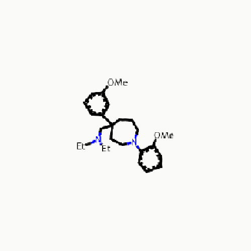 CCN(CC)CC1(c2cccc(OC)c2)CCCN(c2ccccc2OC)CC1